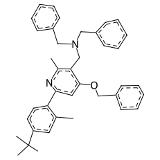 Cc1cc(C(C)(C)C)ccc1-c1cc(OCc2ccccc2)c(CN(Cc2ccccc2)Cc2ccccc2)c(C)n1